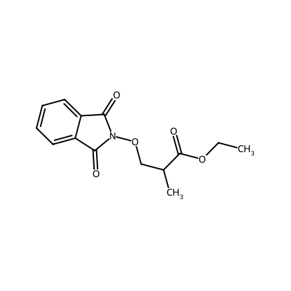 CCOC(=O)C(C)CON1C(=O)c2ccccc2C1=O